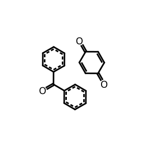 O=C(c1ccccc1)c1ccccc1.O=C1C=CC(=O)C=C1